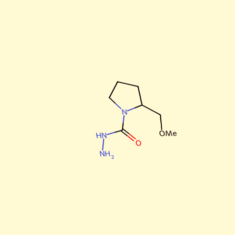 COCC1CCCN1C(=O)NN